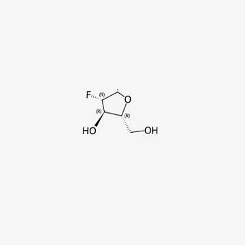 OC[C@H]1O[CH][C@@H](F)[C@@H]1O